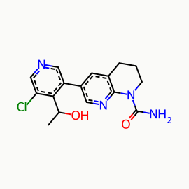 CC(O)c1c(Cl)cncc1-c1cnc2c(c1)CCCN2C(N)=O